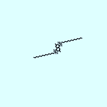 CCCCCCCCCCCCCCn1nc2c(C)cc3c(cc(C)c4nn(CCCCCCCCCCCCCC)nc43)c2n1